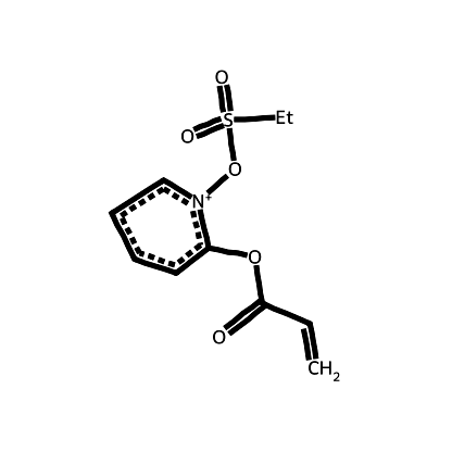 C=CC(=O)Oc1cccc[n+]1OS(=O)(=O)CC